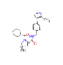 Cc1ncsc1-c1ccc(CNC(=O)[C@@H]2C[C@@H](C)CN2C(=O)C2CCCCC2)cc1